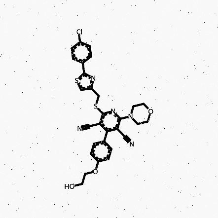 N#Cc1c(SCc2csc(-c3ccc(Cl)cc3)n2)nc(N2CCOCC2)c(C#N)c1-c1ccc(OCCO)cc1